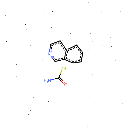 NC(=O)S.c1ccc2cnccc2c1